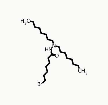 CCCCCCCCN(CCCCCCCC)NC(=O)CCCCCCBr